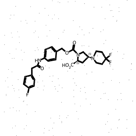 O=C(Cc1ccc(F)cc1)Nc1ccc(COC(=O)N2C[C@@H](N3CCC(F)(F)CC3)C[C@H]2C(=O)O)cc1